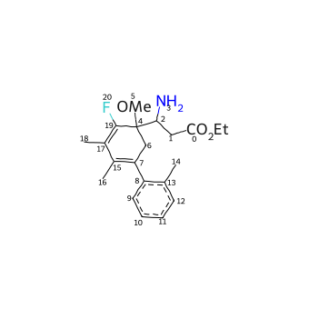 CCOC(=O)CC(N)C1(OC)CC(c2ccccc2C)=C(C)C(C)=C1F